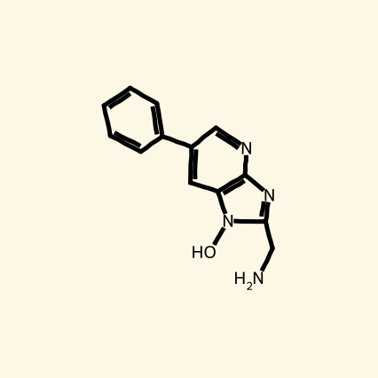 NCc1nc2ncc(-c3ccccc3)cc2n1O